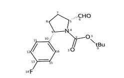 CC(C)(C)OC(=O)N1[C@@H](C=O)CC[C@H]1c1ccc(F)cc1